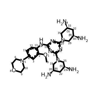 COc1cc(N2CCOCC2)ccc1Nc1nc(N2C[C@H](N)C[C@H](N)C2)nc(N2C[C@H](N)C[C@H](N)C2)n1